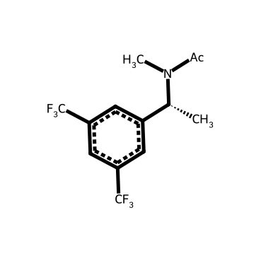 CC(=O)N(C)[C@H](C)c1cc(C(F)(F)F)cc(C(F)(F)F)c1